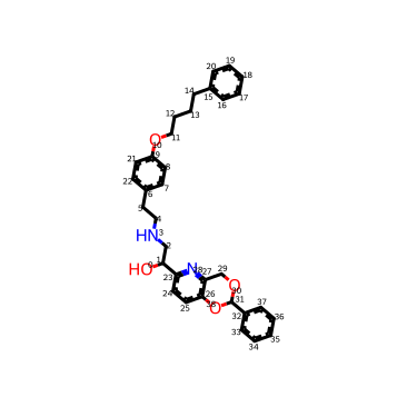 OC(CNCCc1ccc(OCCCCc2ccccc2)cc1)c1ccc2c(n1)COC(c1ccccc1)O2